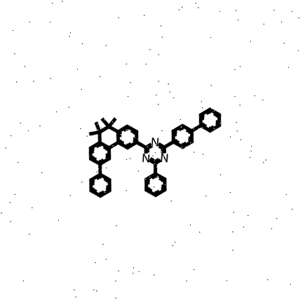 CC1(C)c2ccc(-c3ccccc3)cc2-c2cc(-c3nc(-c4ccccc4)nc(-c4ccc(-c5ccccc5)cc4)n3)ccc2C1(C)C